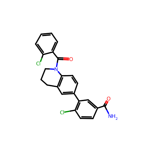 NC(=O)c1ccc(Cl)c(-c2ccc3c(c2)CCCN3C(=O)c2ccccc2Cl)c1